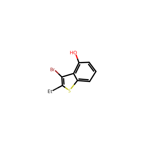 CCc1sc2cccc(O)c2c1Br